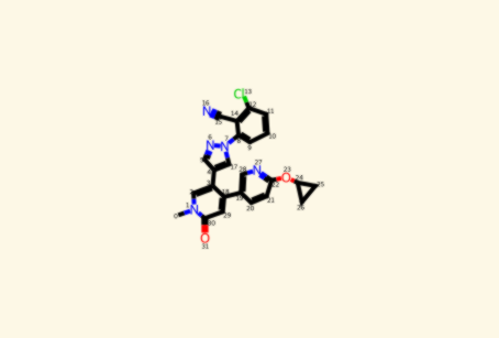 Cn1cc(-c2cnn(-c3cccc(Cl)c3C#N)c2)c(-c2ccc(OC3CC3)nc2)cc1=O